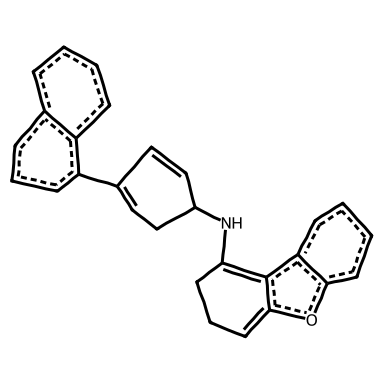 C1=CC(NC2=c3c(oc4ccccc34)=CCC2)CC=C1c1cccc2ccccc12